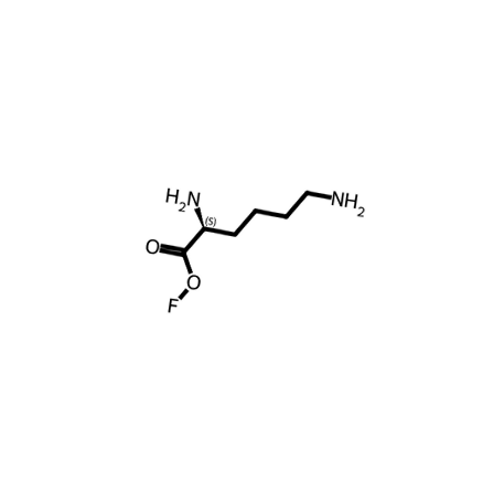 NCCCC[C@H](N)C(=O)OF